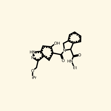 CCNC(=O)C1c2ccccc2CN1C(=O)c1cc2c(COC(C)C)n[nH]c2cc1O